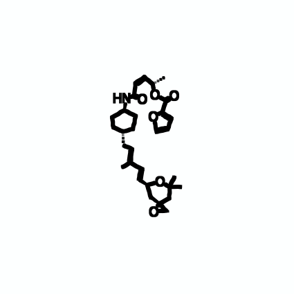 CC(/C=C/[C@@H]1C[C@]2(CO2)CC(C)(C)O1)=C\C[C@H]1CC[C@H](NC(=O)/C=C\[C@H](C)OC(=O)c2ccco2)CC1